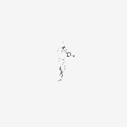 C=CC(=O)N1CC(N2CCN(C(=O)CNc3cc(C4CC4)cc4c3NC([SH](=O)=O)N4)CC2)C1